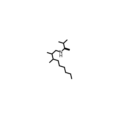 C=C(NCC(C)C(C)CCCCCC)C(C)C